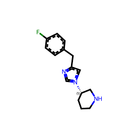 Fc1ccc(Cc2cn([C@H]3CCCNC3)cn2)cc1